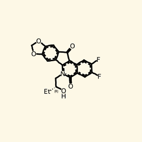 CC[C@@H](O)Cn1c2c(c3cc(F)c(F)cc3c1=O)C(=O)c1cc3c(cc1-2)OCO3